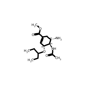 CCC(CC)O[C@@H]1C=C(C(=O)OC)C[C@H](N)[C@H]1NC(C)=O